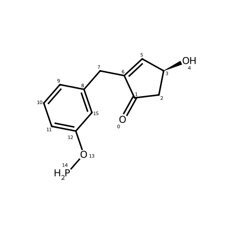 O=C1C[C@H](O)C=C1Cc1cccc(OP)c1